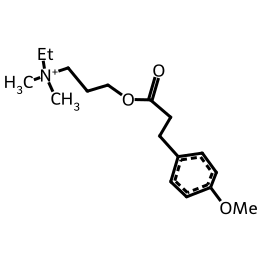 CC[N+](C)(C)CCCOC(=O)CCc1ccc(OC)cc1